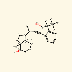 C[C@@H](C#Cc1ccccc1C(C)(CO)[Si](C)(C)C)[C@H]1CC[C@H]2C(=O)CCC[C@]12C